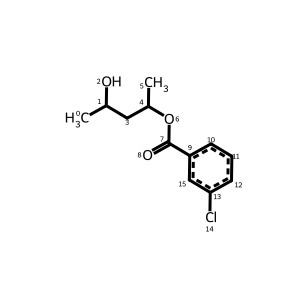 CC(O)CC(C)OC(=O)c1cccc(Cl)c1